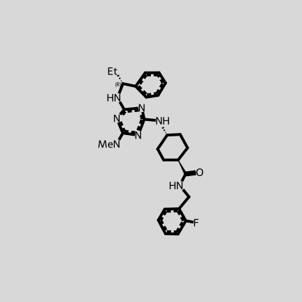 CC[C@@H](Nc1nc(NC)nc(N[C@H]2CC[C@H](C(=O)NCc3ccccc3F)CC2)n1)c1ccccc1